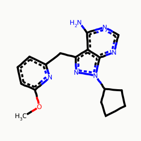 COc1cccc(Cc2nn(C3CCCC3)c3ncnc(N)c23)n1